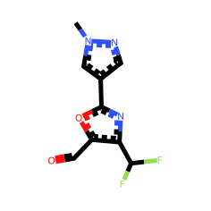 Cn1cc(-c2nc(C(F)F)c(C=O)o2)cn1